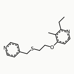 CCc1nccc(OCCSCc2ccncc2)c1C